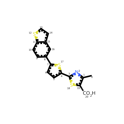 Cc1nc(-c2ccc(-c3ccc4sccc4c3)s2)sc1C(=O)O